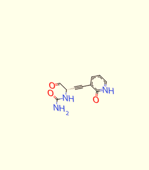 NC(=O)N[C@@H](C#Cc1ccc[nH]c1=O)C=O